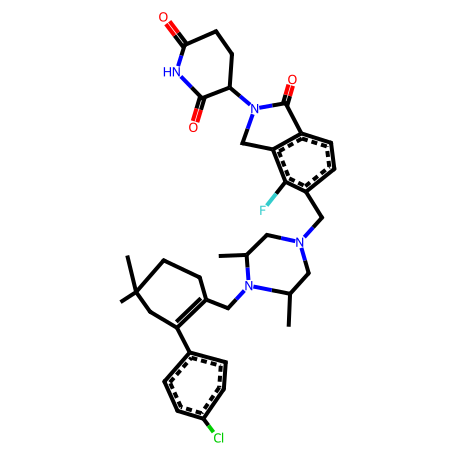 CC1CN(Cc2ccc3c(c2F)CN(C2CCC(=O)NC2=O)C3=O)CC(C)N1CC1=C(c2ccc(Cl)cc2)CC(C)(C)CC1